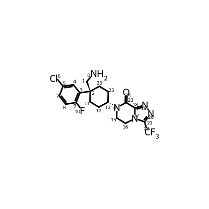 NC[C@]1(c2cc(Cl)ccc2F)CC[C@@H](N2CCn3c(nnc3C(F)(F)F)C2=O)CC1